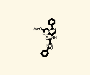 COC(=O)Cn1c(-c2ccccc2)ncc(NC(=O)c2noc(-c3ccccc3)n2)c1=O